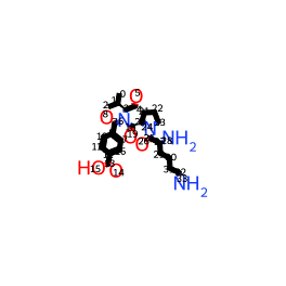 CC(C)[C@@H](C=O)N(C(=O)c1ccc(C(=O)O)cc1)C(=O)[C@@H]1CCCN1C(=O)[C@@H](N)CCCCN